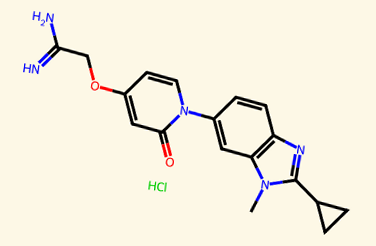 Cl.Cn1c(C2CC2)nc2ccc(-n3ccc(OCC(=N)N)cc3=O)cc21